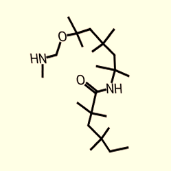 CCC(C)(C)CC(C)(C)C(=O)NC(C)(C)CC(C)(C)CC(C)(C)OCNC